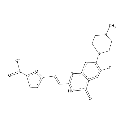 CN1CCN(c2cc3nc(C=Cc4ccc([N+](=O)[O-])o4)[nH]c(=O)c3cc2F)CC1